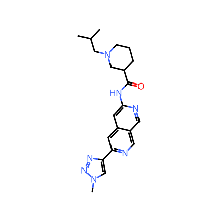 CC(C)CN1CCCC(C(=O)Nc2cc3cc(-c4cn(C)nn4)ncc3cn2)C1